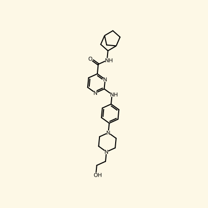 O=C(NC1CC2CCC1C2)c1ccnc(Nc2ccc(N3CCN(CCO)CC3)cc2)n1